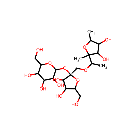 CC1OC(C)(C(C)OC[C@@]2(OC3OC(CO)C(O)C(O)C3O)OC(CO)C(O)C2O)C(O)C1O